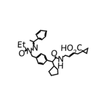 CCC(=O)N(Cc1ccc(C(C(=O)NC/C=C/CC2(C(=O)O)CC2)C2CCCC2)cc1)/N=C(\C)c1ccccc1